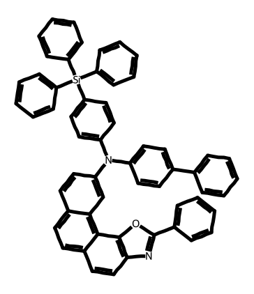 c1ccc(-c2ccc(N(c3ccc([Si](c4ccccc4)(c4ccccc4)c4ccccc4)cc3)c3ccc4ccc5ccc6nc(-c7ccccc7)oc6c5c4c3)cc2)cc1